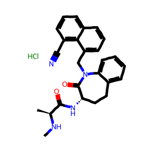 CN[C@@H](C)C(=O)N[C@H]1CCc2ccccc2N(Cc2cccc3cccc(C#N)c23)C1=O.Cl